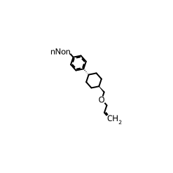 C=CCOC[C@H]1CC[C@H](c2ccc(CCCCCCCCC)cc2)CC1